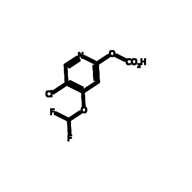 O=C(O)Oc1cc(OC(F)F)c(Cl)cn1